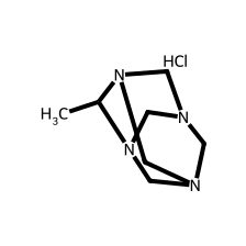 CC1N2CN3CN(C2)CN1C3.Cl